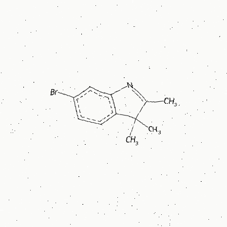 CC1=Nc2cc(Br)ccc2C1(C)C